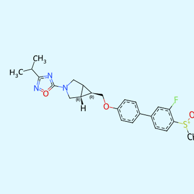 CC(C)c1noc(N2CC3[C@@H](COc4ccc(-c5ccc([S+](C)[O-])c(F)c5)cc4)[C@@H]3C2)n1